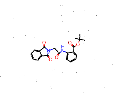 CC(C)(C)OC(=O)c1ccccc1NC(=O)CN1C(=O)c2ccccc2C1=O